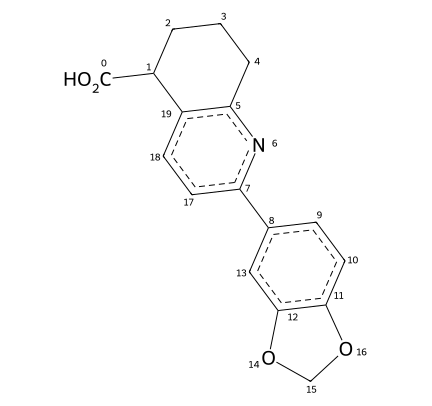 O=C(O)C1CCCc2nc(-c3ccc4c(c3)OCO4)ccc21